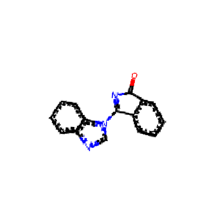 O=C1N=C(n2cnc3ccccc32)c2ccccc21